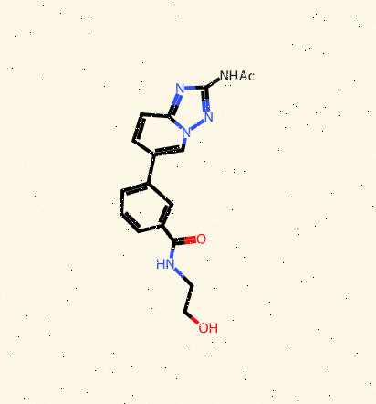 CC(=O)Nc1nc2ccc(-c3cccc(C(=O)NCCO)c3)cn2n1